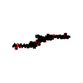 C=CC(=O)OCCCCCCOc1ccc2cc(C(=O)Oc3ccc(OC(=O)c4ccc5cc(OCCCCCCOC(=O)C=C)ccc5c4)c(C(C)(C)C)c3)ccc2c1